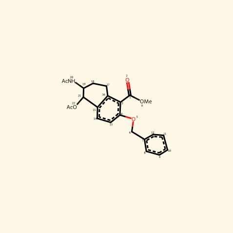 COC(=O)c1c(OCc2ccccc2)ccc2c1CCC(NC(C)=O)C2OC(C)=O